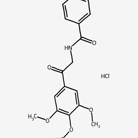 COc1cc(C(=O)CNC(=O)c2ccccc2)cc(OC)c1OC.Cl